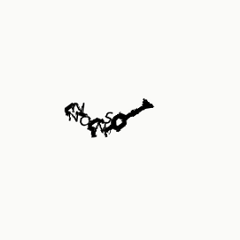 Cc1cc(OCc2ncccn2)cc(=S)n1[C@H](C)c1ccc(C#CC2CC2)cc1